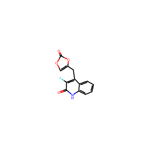 O=c1occ(Cc2c(F)c(=O)[nH]c3ccccc23)o1